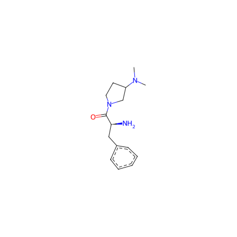 CN(C)C1CCN(C(=O)[C@@H](N)Cc2ccccc2)C1